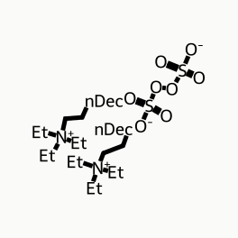 CCCCCCCCCCCC[N+](CC)(CC)CC.CCCCCCCCCCCC[N+](CC)(CC)CC.O=S(=O)([O-])OOS(=O)(=O)[O-]